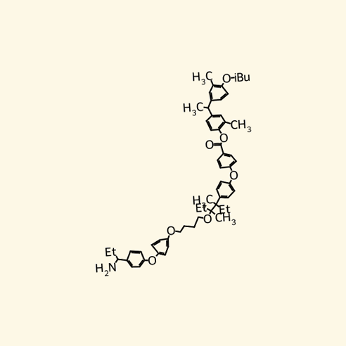 CCC(C)Oc1ccc(C(C)c2ccc(OC(=O)c3ccc(Oc4ccc(C(C)(CC)C(C)(CC)OCCCCOc5ccc(Oc6ccc(C(N)CC)cc6)cc5)cc4)cc3)c(C)c2)cc1C